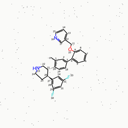 Cc1cc(-c2ccccc2OCc2cccnc2)ccc1[C@H]1CNCC[C@@H]1c1cc(F)cc(F)c1